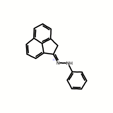 c1ccc(N/N=C2\Cc3cccc4cccc2c34)cc1